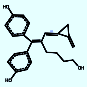 C=C1C/C1=C/C(CCCCO)=C(c1ccc(O)cc1)c1ccc(O)cc1